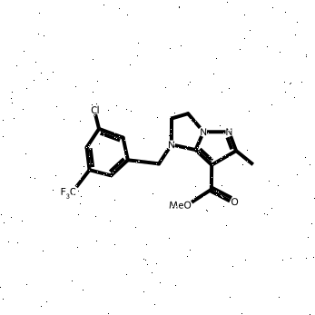 COC(=O)c1c(C)nn2c1N(Cc1cc(Cl)cc(C(F)(F)F)c1)CC2